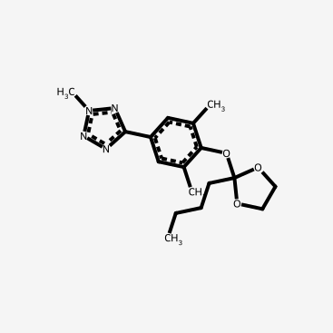 CCCCC1(Oc2c(C)cc(-c3nnn(C)n3)cc2C)OCCO1